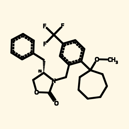 COC1(c2ccc(C(F)(F)F)cc2CN2C(=O)OC[C@@H]2Cc2ccccc2)CCCCCC1